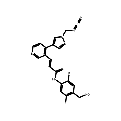 [N-]=[N+]=NCn1cc(-c2ccncc2/C=C/C(=O)Nc2cc(F)c(CN=O)cc2F)cn1